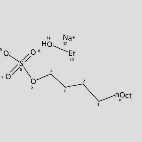 CCCCCCCCCCCCOS(=O)(=O)[O-].CCO.[Na+]